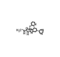 CCNC(=O)Nc1nc2cc(-c3cncnc3)cc(-c3ncccc3F)c2[nH]1